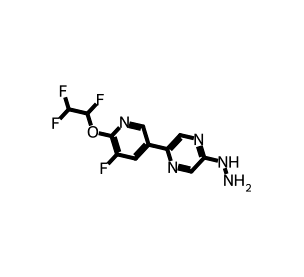 NNc1cnc(-c2cnc(OC(F)C(F)F)c(F)c2)cn1